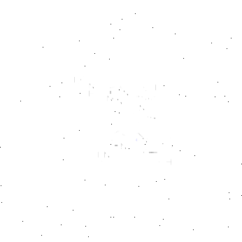 CNCc1cnn(CC2C(/C(=N\OC3(C(=O)O)CC3)c3csc(N)n3)C(=O)N2S(=O)(=O)O)n1